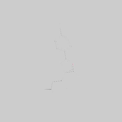 Cc1oc(-c2ccc(Cl)cc2)cc1C(O)CC(C)C